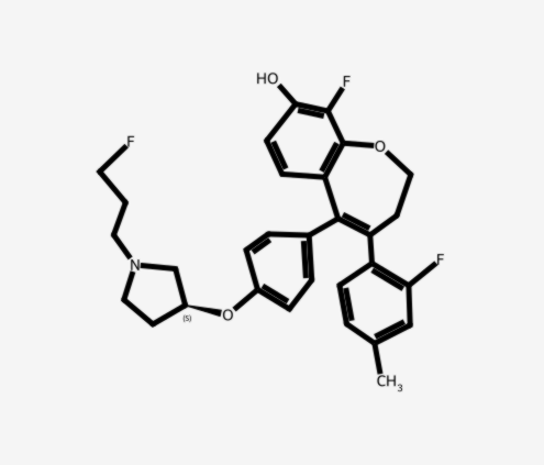 Cc1ccc(C2=C(c3ccc(O[C@H]4CCN(CCCF)C4)cc3)c3ccc(O)c(F)c3OCC2)c(F)c1